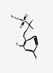 O=S(=O)(O)C(F)(F)Cc1ccc(F)cc1F